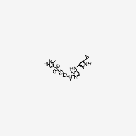 Cc1n[nH]cc1S(=O)(=O)N1CC2(CC(N(C)c3nccc(Nc4cc(C5CC5)[nH]n4)n3)C2)C1